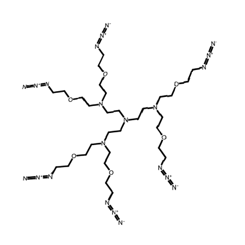 [N-]=[N+]=NCCOCCN(CCOCCN=[N+]=[N-])CCN(CCN(CCOCCN=[N+]=[N-])CCOCCN=[N+]=[N-])CCN(CCOCCN=[N+]=[N-])CCOCCN=[N+]=[N-]